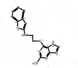 Nc1nc(SCCNc2cc3ccccc3o2)c2[nH]cnc2n1